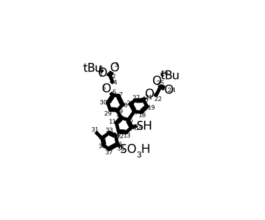 CC(C)(C)OC(=O)COc1ccc(-c2cccc(S)c2-c2ccc(OCC(=O)OC(C)(C)C)cc2)cc1.Cc1ccc(S(=O)(=O)O)cc1